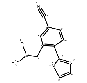 C[S+]([O-])Cc1cc(C#N)ccc1-c1ncc[nH]1